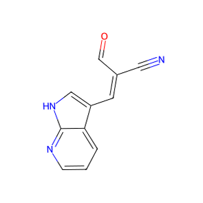 N#C/C(C=O)=C/c1c[nH]c2ncccc12